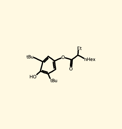 CCCCCCC(CC)C(=O)Oc1cc(C(C)(C)C)c(O)c(C(C)(C)C)c1